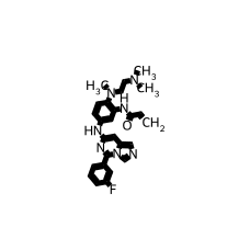 C=CC(=O)Nc1cc(Nc2cc3cncn3c(-c3cccc(F)c3)n2)ccc1N(C)CCN(C)C